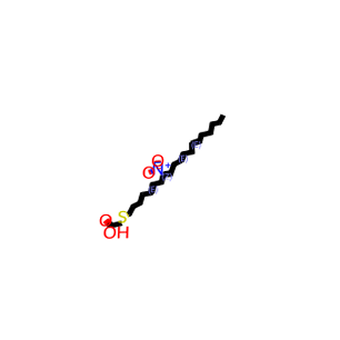 CCCCC/C=C/C/C=C/C/C=C(/C/C=C/CCCCSCC(=O)O)[N+](=O)[O-]